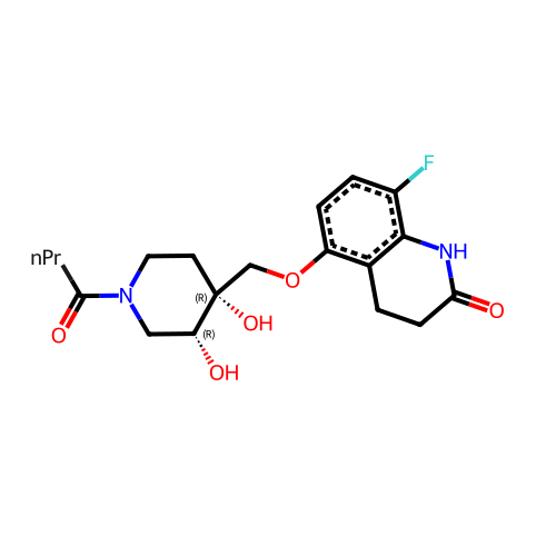 CCCC(=O)N1CC[C@@](O)(COc2ccc(F)c3c2CCC(=O)N3)[C@H](O)C1